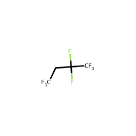 FC(F)(F)CC(F)(F)C(F)(F)F